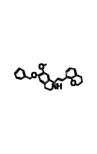 COc1cc2c(cc1OCc1ccccc1)CCNC2C=Cc1cccc2c1OCCC2